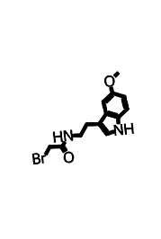 COc1ccc2[nH]cc(CCNC(=O)CBr)c2c1